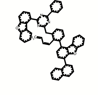 C=C/C=C\c1c(Cc2nc(-c3ccccc3)nc(-c3cccc4oc5ccccc5c34)n2)cccc1-c1ccc(-c2cccc3ccccc23)c2oc3ccccc3c12